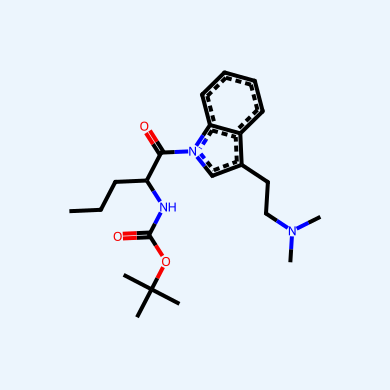 CCCC(NC(=O)OC(C)(C)C)C(=O)n1cc(CCN(C)C)c2ccccc21